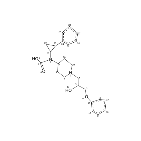 O=C(O)N(C1CCN(CC(O)COc2ccccc2)CC1)C1CC1c1ccccc1